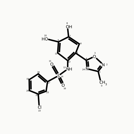 Cc1noc(-c2cc(O)c(O)cc2NS(=O)(=O)c2cccc(Cl)c2)n1